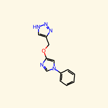 c1ccc(-n2cnc(OCc3c[nH]nn3)c2)cc1